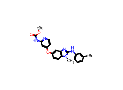 Cn1c(Nc2cccc(C(C)(C)C)c2)nc2cc(Oc3ccnc(NC(=O)OC(C)(C)C)c3)ccc21